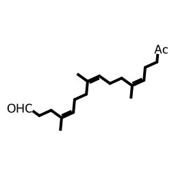 CC(=O)CC/C=C(/C)CC/C=C(/C)CC/C=C(/C)CCC=O